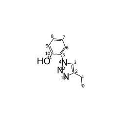 CCc1cn(-c2ccccc2O)nn1